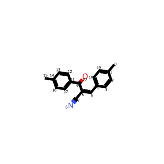 Cc1ccc(/C=C(/C#N)C(=O)c2ccc(C)cc2)cc1